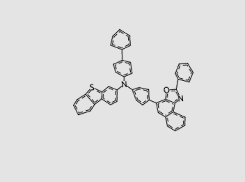 c1ccc(-c2ccc(N(c3ccc(-c4cc5ccccc5c5nc(-c6ccccc6)oc45)cc3)c3ccc4c(c3)sc3ccccc34)cc2)cc1